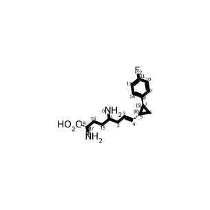 NC(CC=C[C@H]1C[C@@H]1c1ccc(F)cc1)CC[C@H](N)C(=O)O